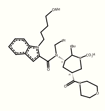 COCCCCn1c(C(=O)N(CC(C)C)[C@H]2C[C@@H](C(=O)N3CCOCC3)CN(C(=O)O)C2C(C)(C)C)cc2ccccc21